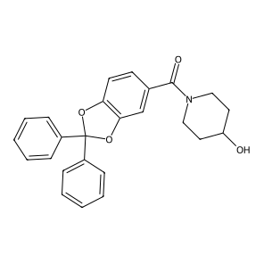 O=C(c1ccc2c(c1)OC(c1ccccc1)(c1ccccc1)O2)N1CCC(O)CC1